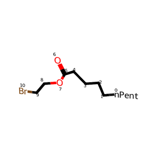 CCCCCCCCCC(=O)OCCBr